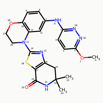 COc1ccc(Nc2ccc3c(c2)N(c2nc4c(s2)C(=O)NC(C)(C)C4)CCO3)nn1